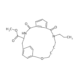 CCCN1CCCCOc2ccc(cc2)CC(C(=O)OC)NC(=O)c2cccc(c2)C1=O